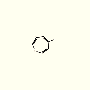 OC1=CC=CNC=C1